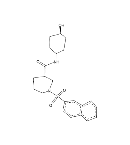 O=C(N[C@H]1CC[C@H](O)CC1)[C@H]1CCCN(S(=O)(=O)c2ccc3ccccc3c2)C1